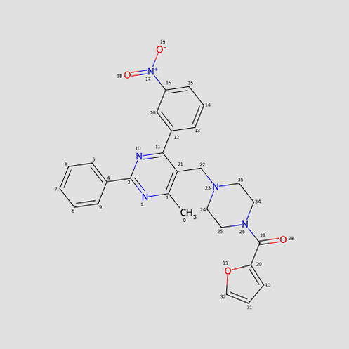 Cc1nc(-c2ccccc2)nc(-c2cccc([N+](=O)[O-])c2)c1CN1CCN(C(=O)c2ccco2)CC1